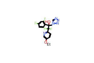 CCOc1ccc(C(F)(F)C(O)(Cn2cnnn2)c2ccc(F)cc2F)nc1